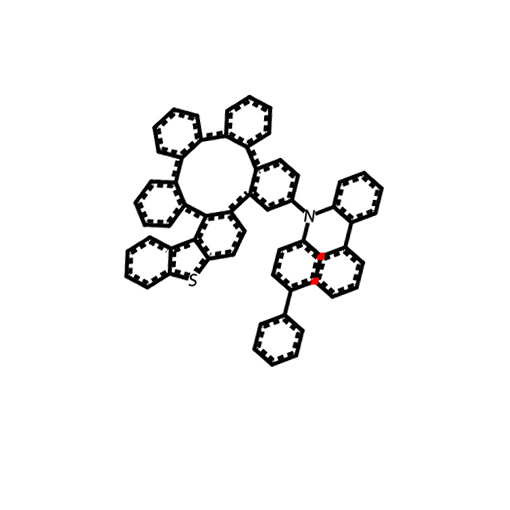 c1ccc(-c2ccc(N(c3ccc4c5ccccc5c5ccccc5c5ccccc5c5c(ccc6sc7ccccc7c65)c4c3)c3ccccc3-c3ccccc3)cc2)cc1